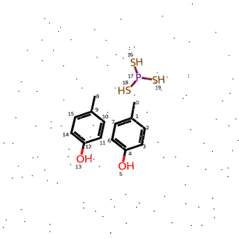 Cc1ccc(O)cc1.Cc1ccc(O)cc1.SP(S)S